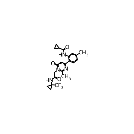 Cc1ccc(-c2cc(=O)n(CC(=O)NC3(C(F)(F)F)CC3)c(C)n2)c(NC(=O)C2CC2)c1